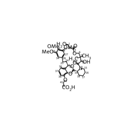 C=CCC(=O)OCC(C)(C)C(O)C(=O)N1CCCC[C@H]1C(=O)O[C@H](CCc1cc(OC)c(OC)c(OC)c1)c1cccc(OCC(=O)O)c1